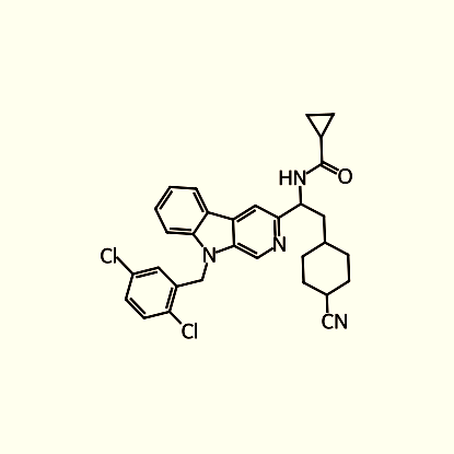 N#CC1CCC(CC(NC(=O)C2CC2)c2cc3c4ccccc4n(Cc4cc(Cl)ccc4Cl)c3cn2)CC1